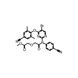 COC(=O)COCC(=O)N(c1ccc(C#N)cc1)c1ncc(Br)c(Oc2c(C)cc(C#N)cc2C)n1